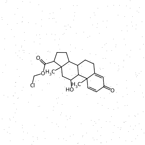 CC12C=CC(=O)C=C1CCC1C2C(O)CC2(C)C(C(=O)OCCl)CCC12